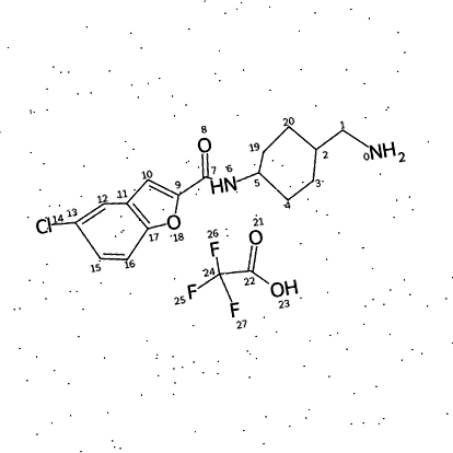 NCC1CCC(NC(=O)c2cc3cc(Cl)ccc3o2)CC1.O=C(O)C(F)(F)F